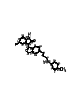 Cc1ccc(NCCCc2ccc3c(c2)COC3=C2C(=O)Nc3ccc(F)cc32)cc1